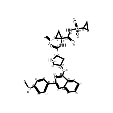 C=C[C@@H]1C[C@]1(NC(=O)[C@@H]1C[C@@H](Oc2nc(-c3ccc(OC)cc3)cc3ccccc23)CN1)C(=O)NS(=O)(=O)C1CC1